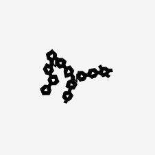 Cc1ccc(-c2ccc(N(c3ccc(-c4ccc(-c5cc(C)c(C)cc5C)cc4)cc3)c3ccc(-c4ccc5c6ccccc6n(-c6cccc(-c7cccc(-c8ccccc8)c7)c6)c5c4)cc3)cc2)cc1